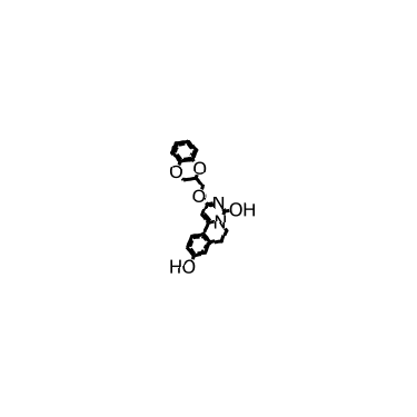 Oc1ccc2c(c1)CCN1C2=CC(OCC2COc3ccccc3O2)=NC1O